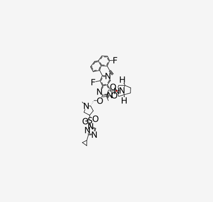 C#Cc1c(F)ccc2cccc(-c3ncc4c(N5C[C@H]6CC[C@@H](C5)N6C(=O)OC(C)(C)C)nc(OC[C@@H]5C[C@@H](S(=O)(=O)n6cnc(C7CC7)n6)CN5C)nc4c3F)c12